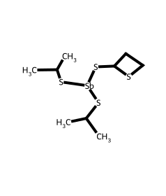 CC(C)[S][Sb]([S]C(C)C)[S]C1CCS1